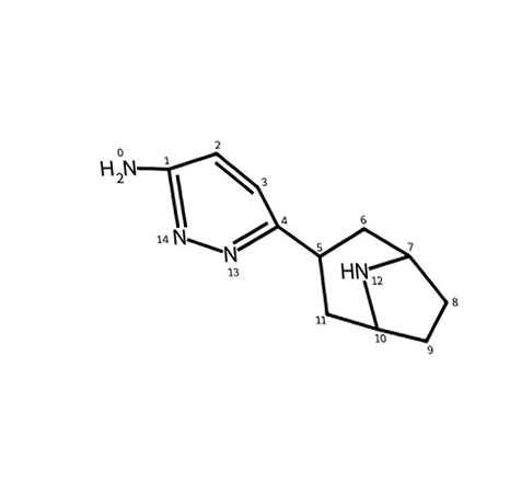 Nc1ccc(C2CC3CCC(C2)N3)nn1